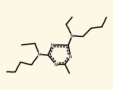 CCCCN(CC)c1nc(C)nc(N(CC)CCCC)n1